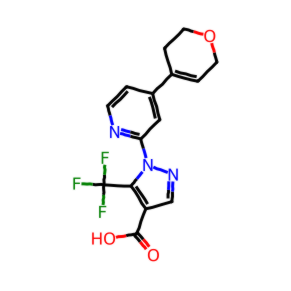 O=C(O)c1cnn(-c2cc(C3=CCOCC3)ccn2)c1C(F)(F)F